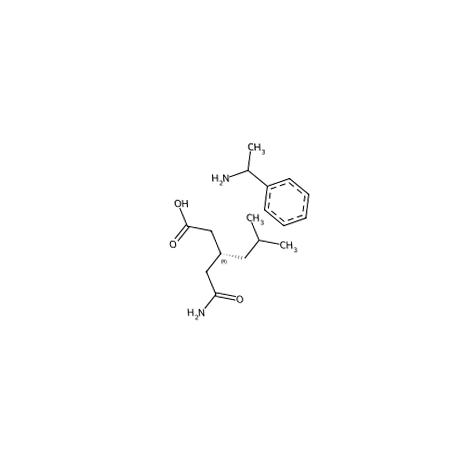 CC(C)C[C@H](CC(N)=O)CC(=O)O.CC(N)c1ccccc1